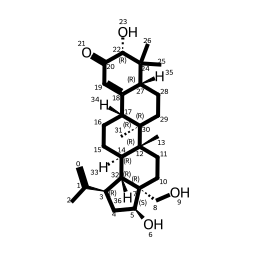 C=C(C)[C@@H]1C[C@H](O)[C@]2(CO)CC[C@]3(C)[C@H](CC[C@@H]4C5=CC(=O)[C@H](O)C(C)(C)[C@@H]5CC[C@]43C)[C@@H]12